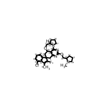 CC1=C(F)C2(Cc3nc(OCC4CCCN4C)nc4c3C(C2)OC[C@@H]2CCCN42)c2cccc(Cl)c21